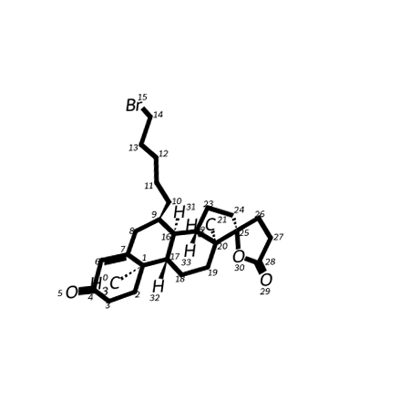 C[C@]12CCC(=O)C=C1C[C@@H](CCCCCBr)[C@@H]1[C@@H]2CC[C@@]2(C)[C@H]1CC[C@@]21CCC(=O)O1